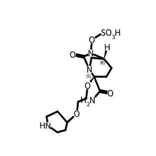 NC(=O)[C@@]1(OCCOC2CCNCC2)CC[C@@H]2CN1C(=O)N2OS(=O)(=O)O